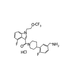 Cl.NCc1ccc(F)c(C2CCN(C(=O)c3cn(CCOC(F)(F)F)c4cccc(F)c34)CC2)c1